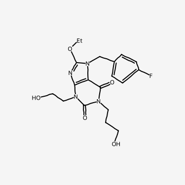 CCOc1nc2c(c(=O)n(CCCO)c(=O)n2CCO)n1Cc1ccc(F)cc1